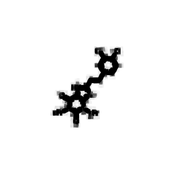 CCCn1c(=O)c2[nH]c(/C=C/c3ccc(Cl)c(Cl)c3)nc2n(CCC)c1=O